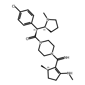 CNC1=C(C(=N)N2CCN(C(=O)[C@@H](c3ccc(Cl)cc3)[C@@H]3CCCN3C)CC2)[C@H](C)CC1